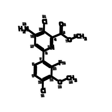 COC(=O)c1nc(-c2ccc(Cl)c(OC)c2F)cc(N)c1Cl